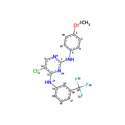 COc1ccc(Nc2ncc(Cl)c(Nc3cccc(C(F)(F)F)c3)n2)cc1